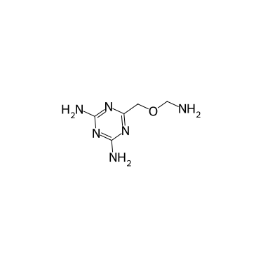 NCOCc1nc(N)nc(N)n1